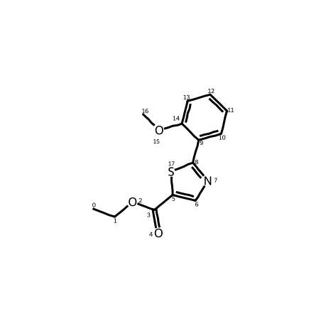 CCOC(=O)c1cnc(-c2ccccc2OC)s1